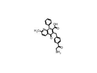 BCC(=O)c1ccc(Cc2c(C(=O)O)n(-c3ccccc3)c3nc(C)ccc3c2=O)cc1